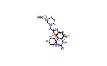 CO[C@@H]1CCCN(Cc2nc3cc(Cl)c4c(c3o2)C2(CCCCC2)NC(=O)N4)C1